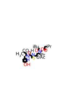 CC[C@@H](C)CC(=O)N(COC(=O)CC(C)C)C(C[C@@H](OC(C)=O)c1nc(C(=O)N[C@@H](Cc2ccc(O)cc2)C[C@H](C)C(=O)O)cs1)C(C)C